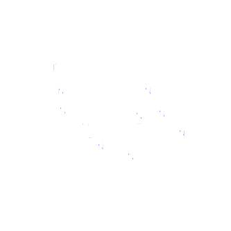 O=C(C1CCC1)N1CCN(Cc2ccnc(Nc3nc4ccc(-c5cnn(CC(F)(F)F)c5)cc4[nH]3)c2)CC1